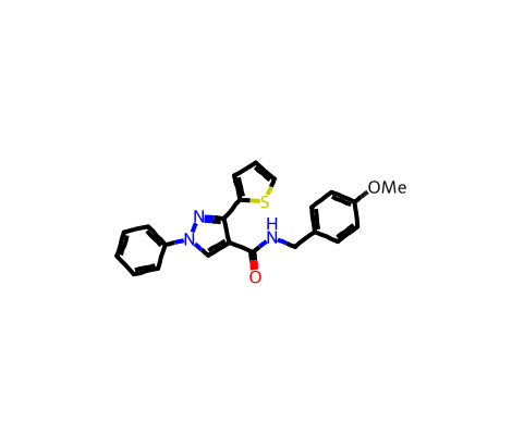 COc1ccc(CNC(=O)c2cn(-c3ccccc3)nc2-c2cccs2)cc1